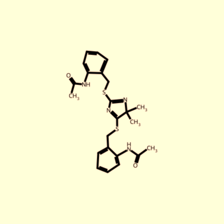 CC(=O)Nc1ccccc1CSC1=NC(C)(C)C(SCc2ccccc2NC(C)=O)=N1